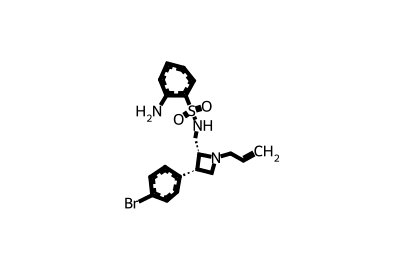 C=CCN1C[C@H](c2ccc(Br)cc2)[C@@H]1CNS(=O)(=O)c1ccccc1N